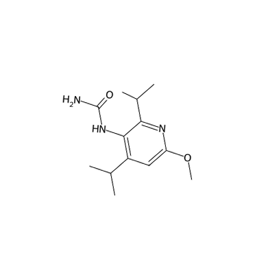 COc1cc(C(C)C)c(NC(N)=O)c(C(C)C)n1